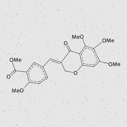 COC(=O)c1cc(/C=C2\COc3cc(OC)c(OC)c(OC)c3C2=O)ccc1OC